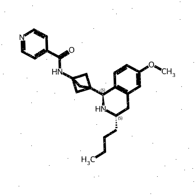 CCCC[C@H]1Cc2cc(OC)ccc2[C@H](C23CC(NC(=O)c4ccncc4)(C2)C3)N1